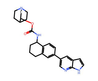 O=C(NC1CCCc2cc(-c3cnc4[nH]ccc4c3)ccc21)OC1CN2CCC1CC2